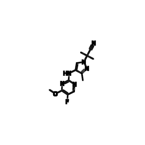 COc1nc(Nc2cn(C(C)(C)C#N)nc2C)ncc1F